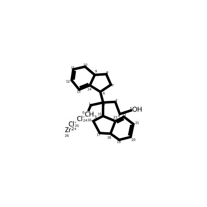 CCC(CCO)(C1CCC2CC=CC=C21)C1CCC2CC=CC=C21.[Cl-].[Cl-].[Zr+2]